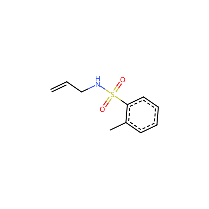 C=CCNS(=O)(=O)c1ccccc1C